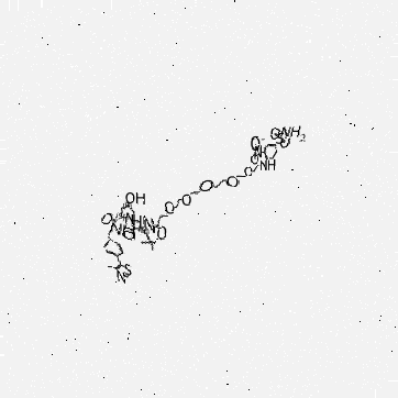 Cc1ncsc1-c1ccc(CNC(=O)[C@@H]2C[C@@H](O)CN2C(=O)[C@@H](NC(=O)CCOCCOCCOCCOCCOCCNc2ccc(S(N)(=O)=O)cc2[N+](=O)[O-])C(C)(C)C)cc1